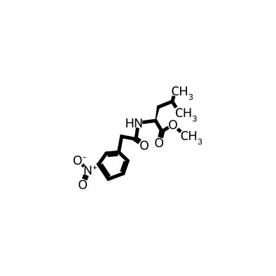 COC(=O)[C@H](CC(C)C)NC(=O)Cc1cccc([N+](=O)[O-])c1